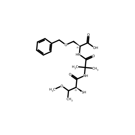 COC(C)[C@H](S)C(=O)NC(C)(C)C(=O)N[C@@H](COCc1ccccc1)C(=O)O